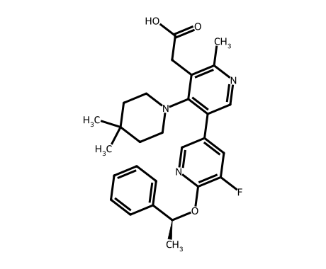 Cc1ncc(-c2cnc(O[C@@H](C)c3ccccc3)c(F)c2)c(N2CCC(C)(C)CC2)c1CC(=O)O